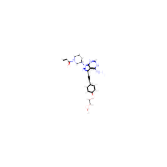 C=CC(=O)N1CCC[C@@H](n2nc(C#Cc3ccc(OCCOC)cc3)c3c(N)ncnc32)C1